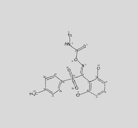 CCNC(=O)ON=C(c1c(Cl)cccc1Cl)S(=O)(=O)c1ccc(C)cc1